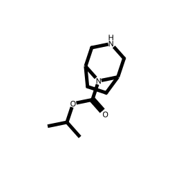 CC(C)OC(=O)N1C2CCC1CNC2